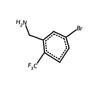 NCc1cc(Br)ccc1C(F)(F)F